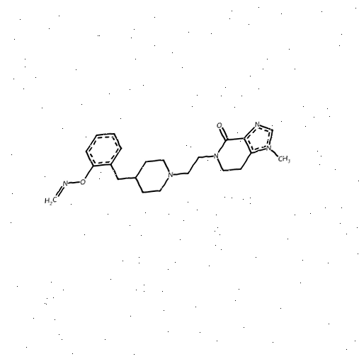 C=NOc1ccccc1CC1CCN(CCN2CCc3c(ncn3C)C2=O)CC1